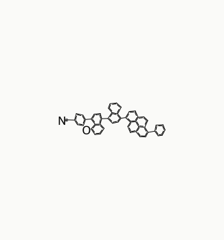 N#Cc1ccc2c(c1)Oc1cccc3c(-c4ccc(-c5ccc6ccc7c(-c8ccccc8)ccc8ccc5c6c87)c5ccccc45)ccc-2c13